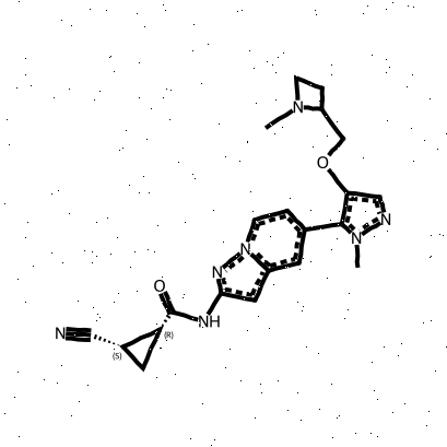 CN1CCC1COc1cnn(C)c1-c1ccn2nc(NC(=O)[C@@H]3C[C@@H]3C#N)cc2c1